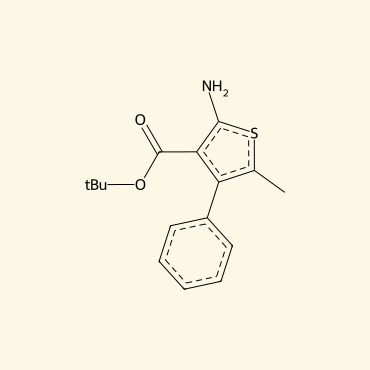 Cc1sc(N)c(C(=O)OC(C)(C)C)c1-c1ccccc1